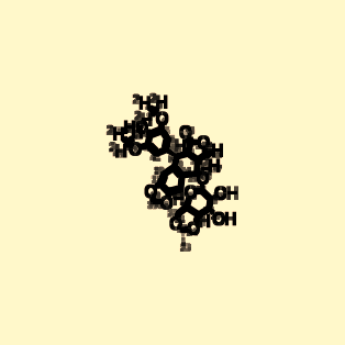 [2H]C([2H])([2H])Oc1cc([C@@H]2c3cc4c(cc3[C@@H](O[C@@H]3O[C@@H]5CO[C@@H](C)O[C@H]5[C@H](O)[C@H]3O)[C@@H]3[C@@H]2C(=O)OC3([2H])[2H])OCO4)cc(OC([2H])([2H])[2H])c1O